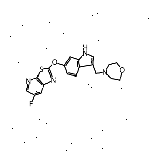 Fc1cnc2sc(Oc3ccc4c(CN5CCOCC5)c[nH]c4c3)nc2c1